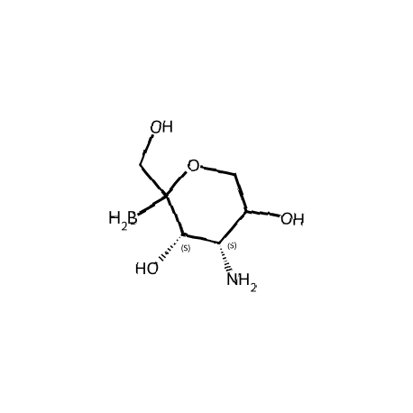 BC1(CO)OCC(O)[C@H](N)[C@@H]1O